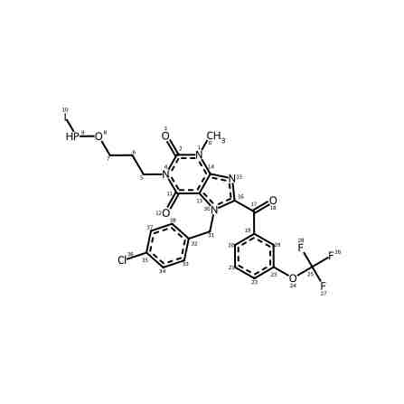 Cn1c(=O)n(CCCOPI)c(=O)c2c1nc(C(=O)c1cccc(OC(F)(F)F)c1)n2Cc1ccc(Cl)cc1